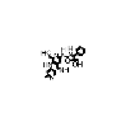 Cc1cc(Nc2c(C=N)cc(NC(=O)N[C@@H](c3ccccc3)C(C)(C)O)nc2CO)ccn1